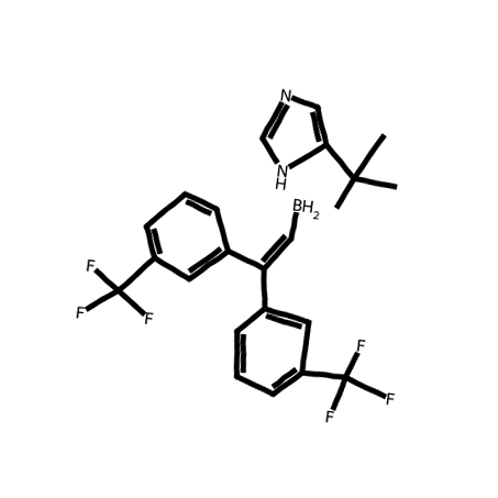 BC=C(c1cccc(C(F)(F)F)c1)c1cccc(C(F)(F)F)c1.CC(C)(C)c1cnc[nH]1